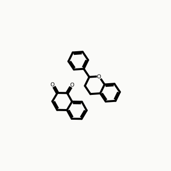 O=C1C=Cc2ccccc2C1=O.c1ccc(C2CCc3ccccc3O2)cc1